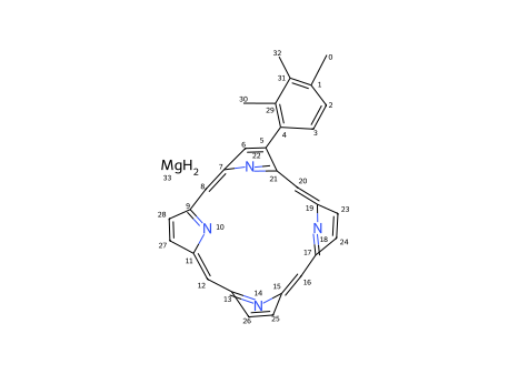 Cc1ccc(C2=CC3=CC4=NC(=CC5=NC(=CC6=NC(=CC2=N3)C=C6)C=C5)C=C4)c(C)c1C.[MgH2]